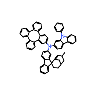 CC1C=C2CC(CCC23c2ccccc2-c2ccc(N(c4ccc5c(c4)-c4ccccc4-c4ccccc4-c4ccccc4-5)c4ccc5c6ccccc6n(-c6ccccc6)c5c4)cc23)C1